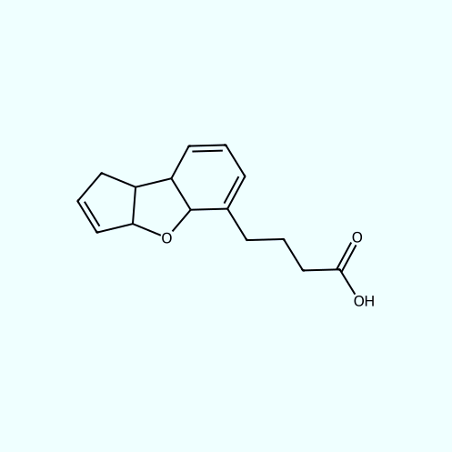 O=C(O)CCCC1=CC=CC2C1OC1C=CCC12